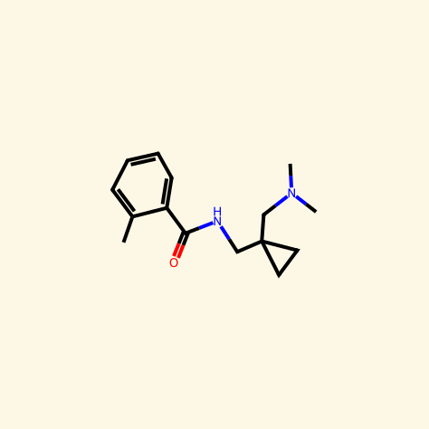 Cc1ccccc1C(=O)NCC1(CN(C)C)CC1